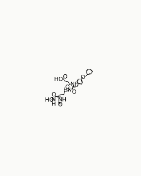 O=CN[C@@H](CCCCNC(=O)[C@H](Cc1ccc(OCc2ccccc2)cc1)NC(=O)CCC(=O)O)C(=O)NO